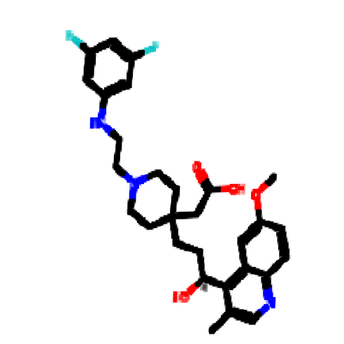 COc1ccc2ncc(C)c([C@@H](O)CCC3(CC(=O)O)CCN(CCNc4cc(F)cc(F)c4)CC3)c2c1